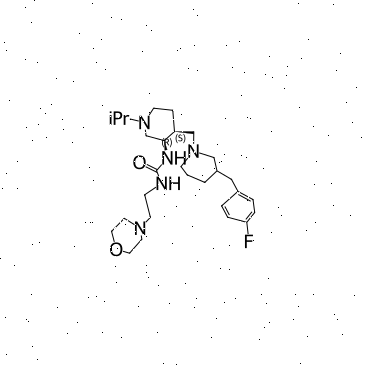 CC(C)N1CC[C@@H](CN2CCCC(Cc3ccc(F)cc3)C2)[C@@H](NC(=O)NCCN2CCOCC2)C1